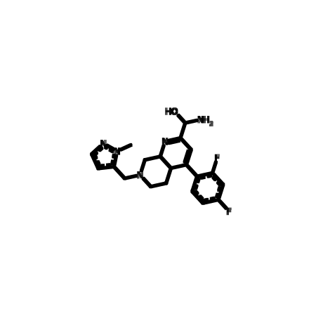 Cn1nccc1CN1CCC2C(c3ccc(F)cc3F)=CC(C(N)O)=NC2C1